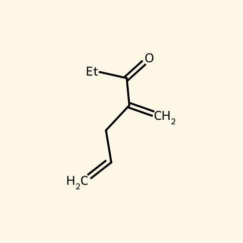 C=CCC(=C)C(=O)CC